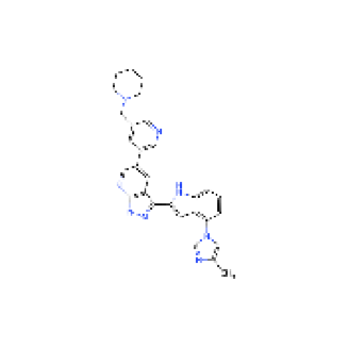 Cc1cn(-c2cccc3[nH]c(-c4n[nH]c5ncc(-c6cncc(CN7CCCCC7)c6)cc45)cc23)cn1